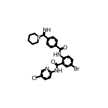 N=C(c1ccc(C(=O)Nc2ccc(Br)cc2C(=O)Nc2ccc(Cl)cn2)cc1)N1CCCCC1